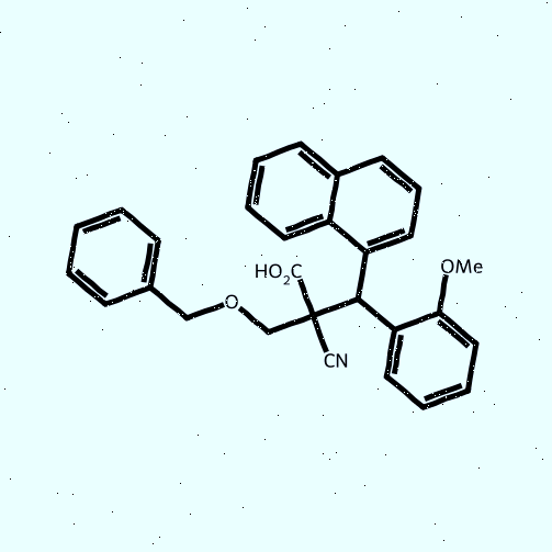 COc1ccccc1C(c1cccc2ccccc12)C(C#N)(COCc1ccccc1)C(=O)O